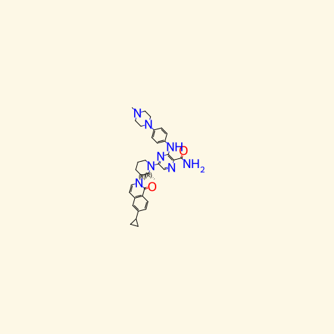 C[C@@H]1[C@H](n2ccc3cc(C4CC4)ccc3c2=O)CCCN1c1cnc(C(N)=O)c(Nc2ccc(N3CCN(C)CC3)cc2)n1